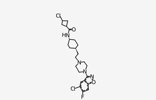 O=C(N[C@H]1CC[C@H](CCN2CCN(c3noc4cc(F)c(Cl)cc34)CC2)CC1)C1CC(Cl)C1